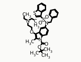 CCN(CC)CCOc1c(C)n(C(=O)OC(C)(C)C)c2ccc(N(Cc3ccccc3)S(=O)(=O)c3csc4ccccc34)cc12